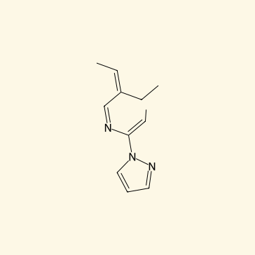 C\C=C(/C=N\C(=C/C)n1cccn1)CC